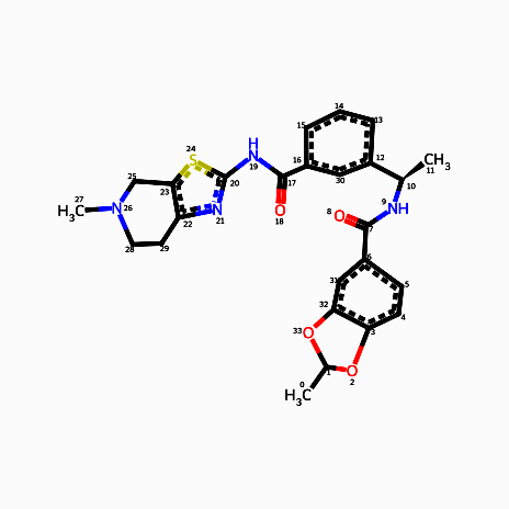 CC1Oc2ccc(C(=O)N[C@H](C)c3cccc(C(=O)Nc4nc5c(s4)CN(C)CC5)c3)cc2O1